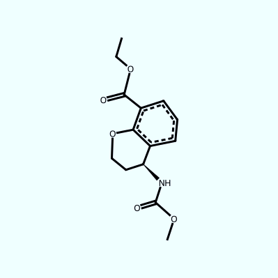 CCOC(=O)c1cccc2c1OCC[C@@H]2NC(=O)OC